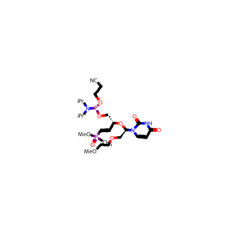 COCCOC[C@@H](O[C@H](/C=C/P(C)(=O)OC)COP(OCCC#N)N(C(C)C)C(C)C)n1ccc(=O)[nH]c1=O